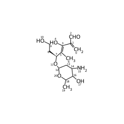 C=C(C=O)/C(O)=C(\C)[C@H](CCO)OC1CC(N)C(O)C(C)O1